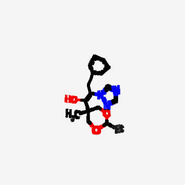 CCC1OCC(C)(C(O)=C(Cc2ccccc2)n2cncn2)CO1